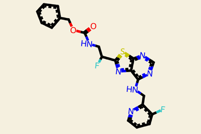 O=C(NCC(F)c1nc2c(NCc3ncccc3F)ncnc2s1)OCc1ccccc1